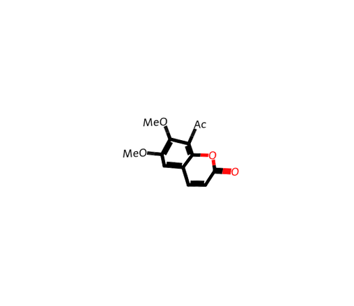 COc1cc2ccc(=O)oc2c(C(C)=O)c1OC